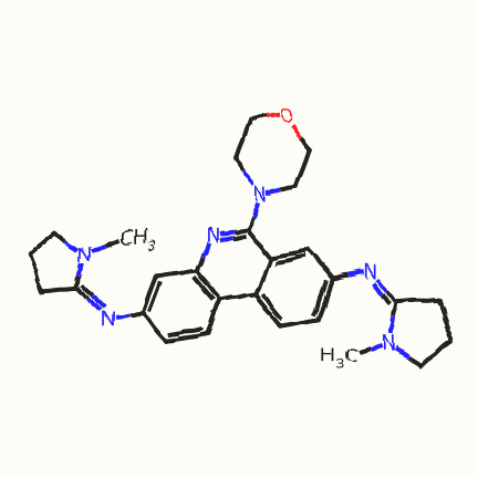 CN1CCCC1=Nc1ccc2c(c1)nc(N1CCOCC1)c1cc(N=C3CCCN3C)ccc12